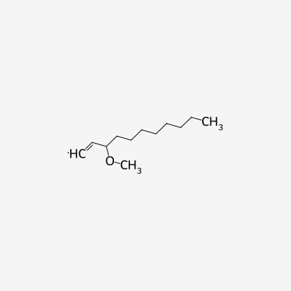 [CH]=CC(CCCCCCCC)OC